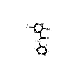 N#Cc1cnc(N)c(C(=O)Nc2ccccn2)n1